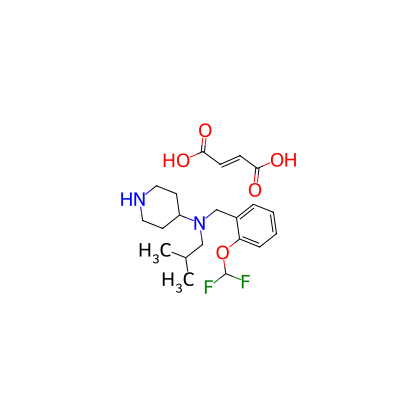 CC(C)CN(Cc1ccccc1OC(F)F)C1CCNCC1.O=C(O)C=CC(=O)O